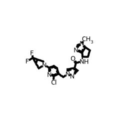 Cn1cnc2c1CC[C@H]2NC(=O)c1cnn(Cc2ccc(N3CC4C(C3)C4(F)F)nc2Cl)c1